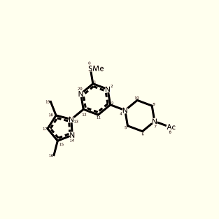 CSc1nc(N2CCN(C(C)=O)CC2)cc(-n2nc(C)cc2C)n1